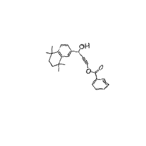 CC1(C)CCC(C)(C)c2cc(C(O)C#COC(=O)c3ccccc3)ccc21